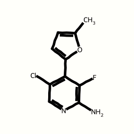 Cc1ccc(-c2c(Cl)cnc(N)c2F)o1